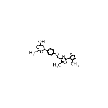 CCOC(CC(=O)O)c1ccc(OCc2nc(-c3sccc3C)oc2C)cc1